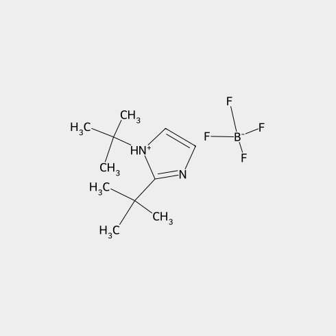 CC(C)(C)C1=NC=C[NH+]1C(C)(C)C.F[B-](F)(F)F